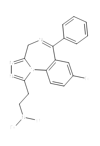 CCN(CC)CCc1nnc2n1-c1ccc(Br)cc1C(c1ccccc1)=NC2